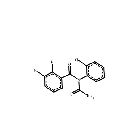 NC(=O)N(C(=O)c1cccc(F)c1F)c1ccccc1Cl